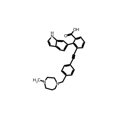 CN1CCCN(Cc2ccc(C#Cc3cccc(C(=O)O)c3-c3ccc4cc[nH]c4c3)cc2)CC1